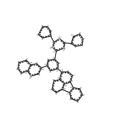 c1ccc(-c2nc(-c3ccccc3)nc(-c3cc(-c4cnc5ccccc5c4)cc(-c4ccc5c6c(cccc46)-c4ccccc4-5)c3)n2)cc1